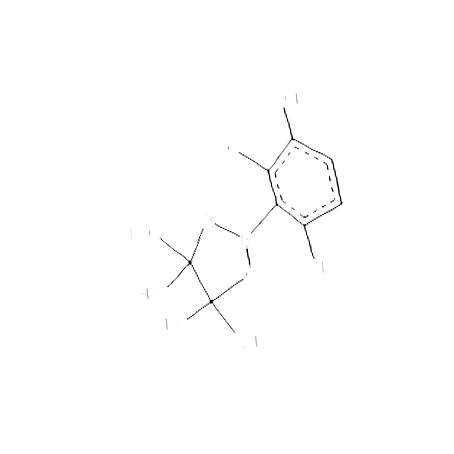 Cc1c(O)ccc(Cl)c1B1OC(C)(C)C(C)(C)O1